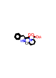 CN[C@@H](Cc1ccccc1)C(=O)N1CCCC[C@H]1C(=O)O